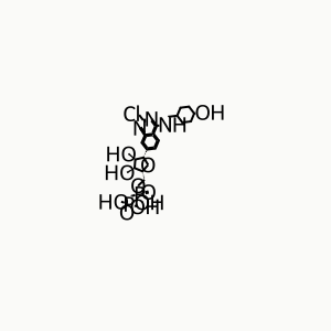 O=P(O)(O)CP(=O)(O)OC[C@H]1O[C@@H](c2ccc3c(NCC4CCC(O)CC4)nc(Cl)nc3c2)[C@H](O)[C@@H]1O